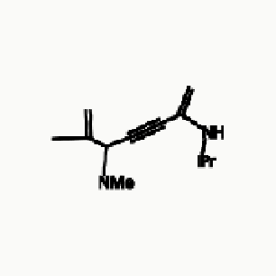 C=C(C#CC(NC)C(=C)C)NC(C)C